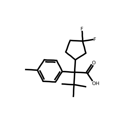 Cc1ccc(C(C(=O)O)(C2CCC(F)(F)C2)C(C)(C)C)cc1